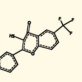 O=c1c(S)c(-c2ccccc2)oc2ccc(C(F)(F)F)cc12